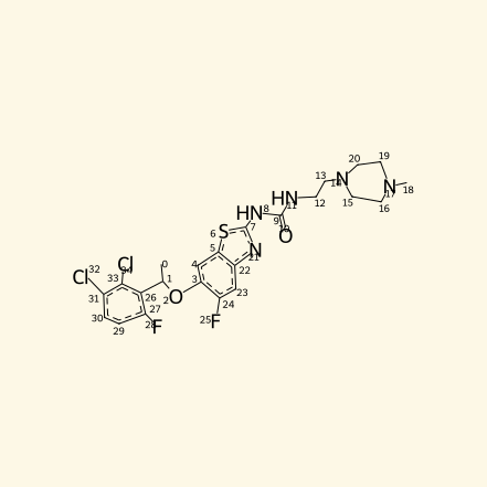 CC(Oc1cc2sc(NC(=O)NCCN3CCN(C)CC3)nc2cc1F)c1c(F)ccc(Cl)c1Cl